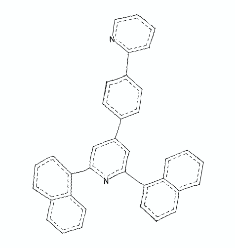 c1ccc(-c2ccc(-c3cc(-c4cccc5ccccc45)nc(-c4cccc5ccccc45)c3)cc2)nc1